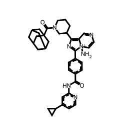 N[N+]12C=CN=CC1=C(C1CCCN(C(=O)C34CC5CC(CC(C5)C3)C4)C1)N=C2c1ccc(C(=O)Nc2cc(C3CC3)ccn2)cc1